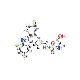 C[C@@H](CO)NS(=O)(=O)NC[C@H]1C[C@H](c2c(-c3ccc(F)cc3)[nH]c3c(F)cc(F)cc32)C1